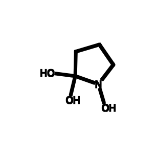 ON1CCCC1(O)O